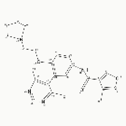 Cc1nocc1C(=O)Nc1ccc(OCCN2CCCC2)c(-c2c(C)ncnc2C)c1